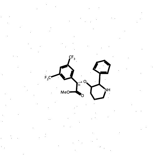 COC(=O)[C@@H](OC1CCCNC1c1ccccc1)c1cc(C(F)(F)F)cc(C(F)(F)F)c1